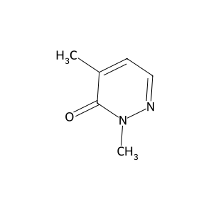 Cc1ccnn(C)c1=O